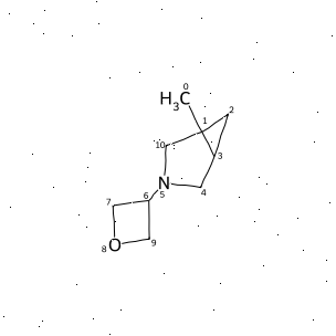 CC12CC1CN(C1COC1)C2